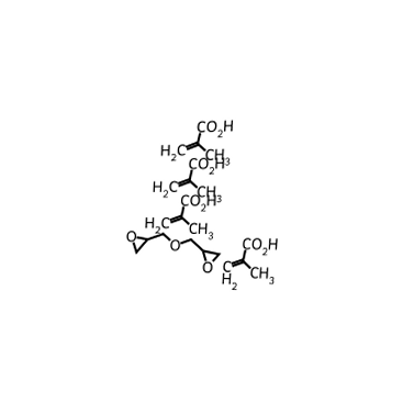 C(OCC1CO1)C1CO1.C=C(C)C(=O)O.C=C(C)C(=O)O.C=C(C)C(=O)O.C=C(C)C(=O)O